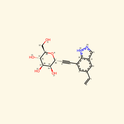 C=Cc1cc(C#C[C@H]2O[C@H](CO)[C@@H](O)[C@H](O)[C@@H]2O)c2[nH]ncc2c1